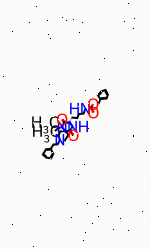 CC(C)N1C(=O)[C@H](CCCCNC(=O)OCc2ccccc2)NC(=O)C12CCN(CCc1ccccc1)CC2